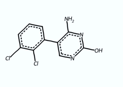 Nc1nc(O)ncc1-c1cccc(Cl)c1Cl